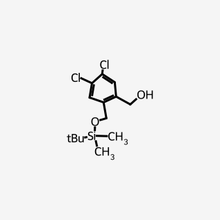 CC(C)(C)[Si](C)(C)OCc1cc(Cl)c(Cl)cc1CO